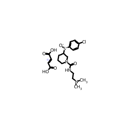 CN(C)CCNC(=O)N1CCCC([S+]([O-])c2ccc(Cl)cc2)C1.O=C(O)/C=C/C(=O)O